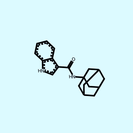 O=C(NC12CC3CC(CC(C3)C1)C2)c1c[nH]c2ccccc12